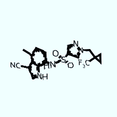 Cc1ccc(NS(=O)(=O)c2cnn(CC3(C(F)(F)F)CC3)c2)c2[nH]cc(C#N)c12